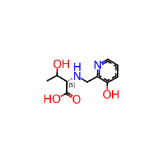 CC(O)[C@H](NCc1ncccc1O)C(=O)O